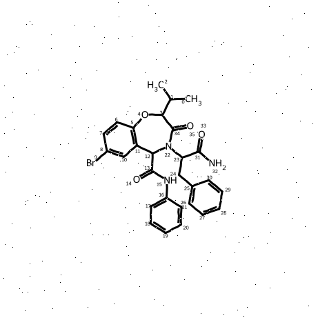 CC(C)C1Oc2ccc(Br)cc2C(C(=O)Nc2ccccc2)N(C(Cc2ccccc2)C(N)=O)C1=O